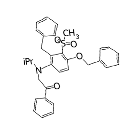 CC(C)N(CC(=O)c1ccccc1)c1ccc(OCc2ccccc2)c(S(C)(=O)=O)c1Cc1ccccc1